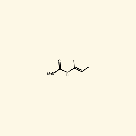 C/C=C(\C)NC(=O)NC